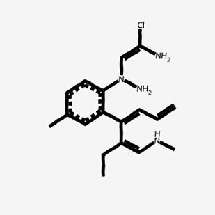 C=C/C=C(\C(=C/NC)CC)c1cc(C)ccc1N(N)/C=C(\N)Cl